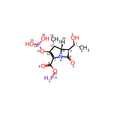 C[C@@H](O)[C@H]1C(=O)N2C(C(=O)OP)=C(OP(O)O)[C@H](C)[C@H]12